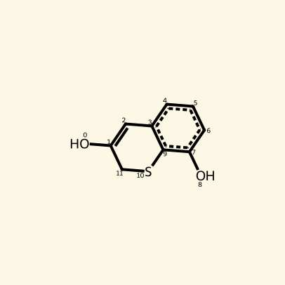 OC1=Cc2cccc(O)c2SC1